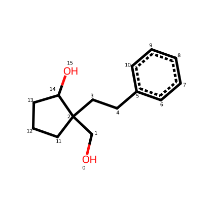 OCC1(CCc2ccccc2)CCCC1O